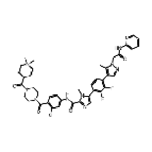 Cc1c(-c2ccc(-c3cnc(C(=O)Nc4ccc(C(=O)N5CCN(C(=O)C6CC[N+](C)(C)CC6)CC5)c(Cl)c4)n3C)c(F)c2F)cnn1CC(=O)Nc1ccccn1